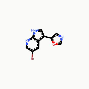 Brc1cnc2[nH]cc(-c3cnco3)c2c1